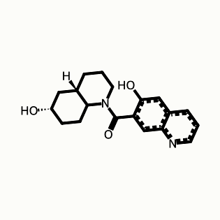 O=C(c1cc2ncccc2cc1O)N1CCC[C@H]2C[C@@H](O)CCC21